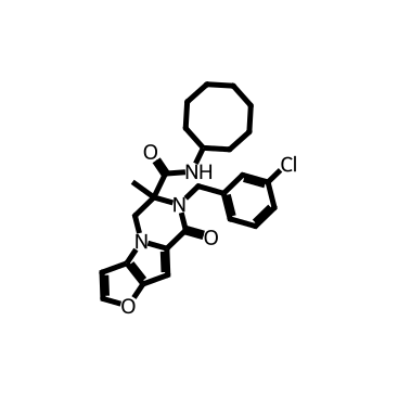 CC1(C(=O)NC2CCCCCCC2)Cn2c(cc3occc32)C(=O)N1Cc1cccc(Cl)c1